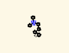 C[Si]1(C)c2ccccc2-c2c(-c3cccc(-c4cccc(-c5nc(-c6ccccc6)nc(-c6ccccc6)n5)c4)c3)cccc21